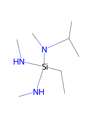 CC[Si](NC)(NC)N(C)C(C)C